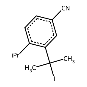 CC(C)c1ccc(C#N)cc1C(C)(C)I